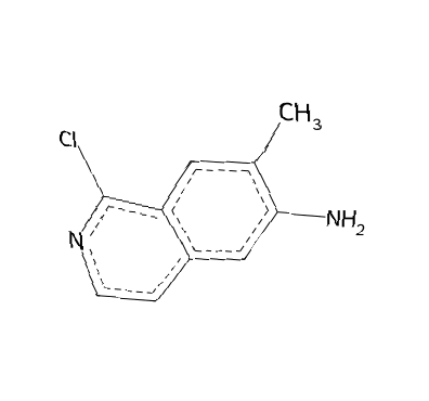 Cc1cc2c(Cl)nccc2cc1N